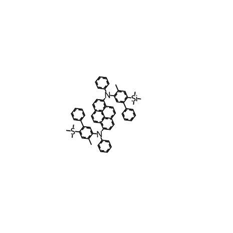 Cc1cc([Si](C)(C)C)c(-c2ccccc2)cc1N(c1ccccc1)c1ccc2ccc3c(N(c4ccccc4)c4cc(-c5ccccc5)c(S(C)(C)C)cc4C)ccc4ccc1c2c43